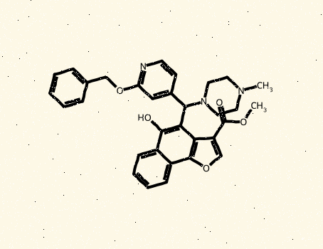 COC(=O)c1coc2c1c(C(c1ccnc(OCc3ccccc3)c1)N1CCN(C)CC1)c(O)c1ccccc12